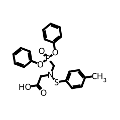 Cc1ccc(SN(CC(=O)O)CP(=O)(Oc2ccccc2)Oc2ccccc2)cc1